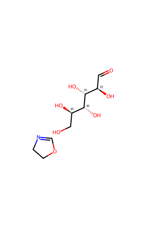 C1=NCCO1.O=C[C@@H](O)[C@@H](O)[C@H](O)[C@H](O)CO